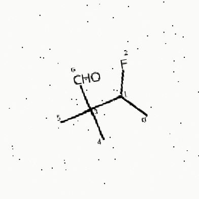 CC(F)C(C)(C)C=O